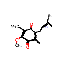 CC/C(C)=C/CC1=C(C)C(=O)C(OC(F)(F)F)=C(OC)C1=O